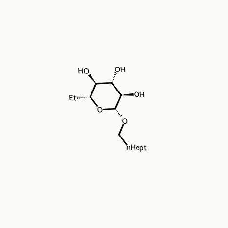 CCCCCCCCO[C@@H]1O[C@H](CC)[C@@H](O)[C@H](O)[C@H]1O